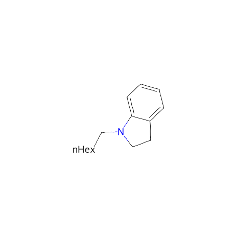 CCCCCCCN1CCc2ccccc21